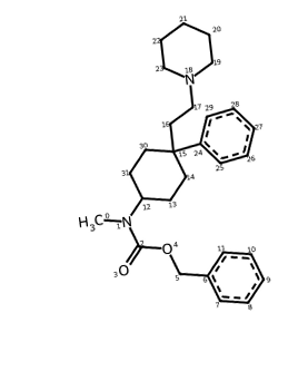 CN(C(=O)OCc1ccccc1)C1CCC(CCN2CCCCC2)(c2ccccc2)CC1